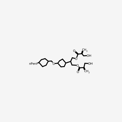 C=C(CO)C(=O)OCC(COC(=O)C(=C)CO)C1CCC(OCC2CCC(CCCCC)CC2)CC1